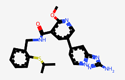 COc1ncc(-c2ccn3nc(N)nc3c2)cc1C(=O)NCc1ccccc1SC(C)C